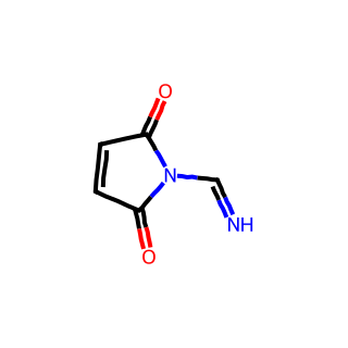 N=CN1C(=O)C=CC1=O